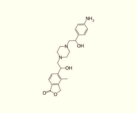 Cc1c(C(O)CN2CCN(CC(O)c3ccc(N)cc3)CC2)ccc2c1COC2=O